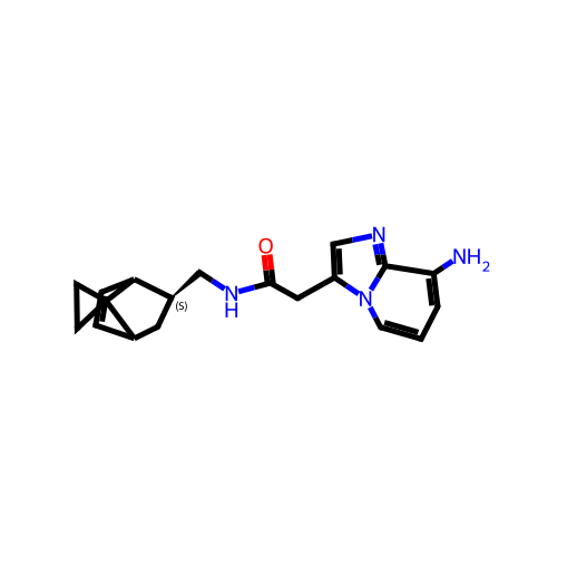 Nc1cccn2c(CC(=O)NC[C@H]3CC4C=CC3C43CC3)cnc12